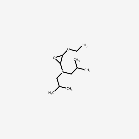 CCOC1OC1N(CC(C)C)CC(C)C